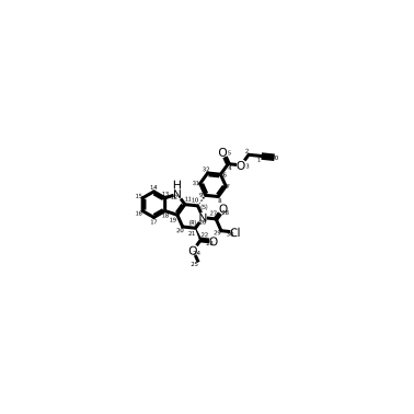 C#CCOC(=O)c1ccc([C@H]2c3[nH]c4ccccc4c3C[C@H](C(=O)OC)N2C(=O)CCl)cc1